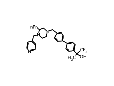 CCCC1CN(Cc2ccc(-c3ccc(C(C)(O)C(F)(F)F)cc3)cc2)CCN1Cc1ccncc1